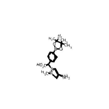 CN1CC(N)=CN1C(C(=O)O)c1ccc(B2OC(C)(C)C(C)(C)O2)cc1